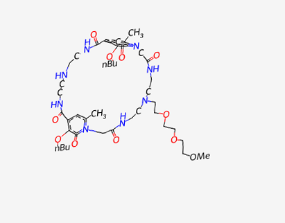 CCCCOc1c2cc(C)n(c1=O)CC(=O)NCCN(CCOCCOCCOC)CCNC(=O)Cn1c(C)cc(c(OCCCC)c1=O)C(=O)NCCNCCNC2=O